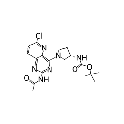 CC(=O)Nc1nc(N2CC[C@H](NC(=O)OC(C)(C)C)C2)c2nc(Cl)ccc2n1